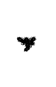 c1ccc2c(c1)oc1c3c4c(cc12)-n1c2sc5ccccc5c2c2cccc(c21)B4n1c2oc4ccccc4c2c2cccc-3c21